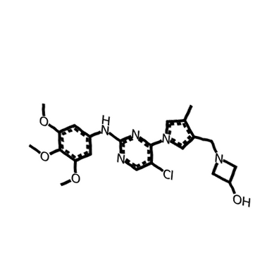 COc1cc(Nc2ncc(Cl)c(-n3cc(C)c(CN4CC(O)C4)c3)n2)cc(OC)c1OC